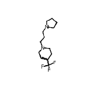 FC(F)(F)C1=CCN(CCCN2CCCC2)CC1